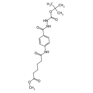 COC(=O)CCCCC(=O)Nc1ccc(C(=O)NNC(=O)OC(C)(C)C)cc1